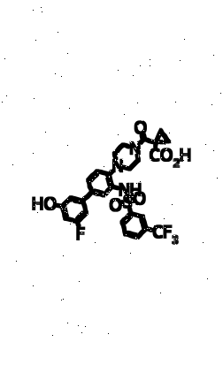 O=C(O)C1(C(=O)N2CCN(c3ccc(-c4cc(O)cc(F)c4)cc3NS(=O)(=O)c3cccc(C(F)(F)F)c3)CC2)CC1